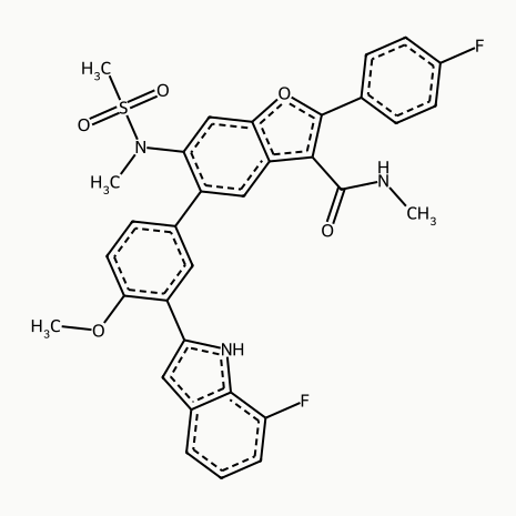 CNC(=O)c1c(-c2ccc(F)cc2)oc2cc(N(C)S(C)(=O)=O)c(-c3ccc(OC)c(-c4cc5cccc(F)c5[nH]4)c3)cc12